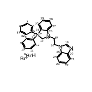 Br.[Br-].c1ccc([N+]2(c3ccccc3)CN(CCn3cnc4ccccc43)c3ccccc32)cc1